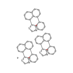 [Ir].c1ccc(-c2cccc3cccc(-c4cncs4)c23)cc1.c1ccc(-c2cccc3cccc(-c4cncs4)c23)cc1.c1ccc(-c2cccc3cccc(-c4cncs4)c23)cc1